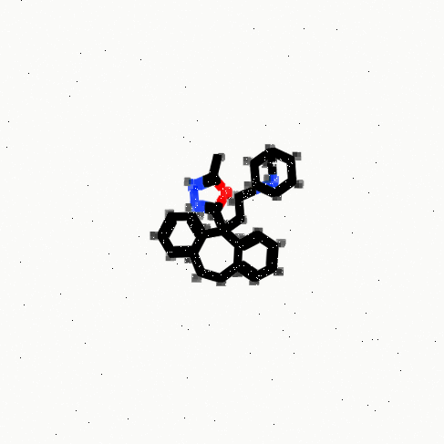 Cc1nnc(C2(CCN3CC4CCC3CC4)c3ccccc3CCc3ccccc32)o1